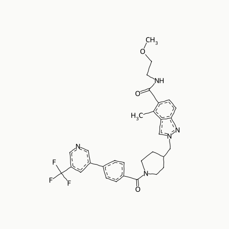 COCCNC(=O)c1ccc2nn(CC3CCN(C(=O)c4ccc(-c5cncc(C(F)(F)F)c5)cc4)CC3)cc2c1C